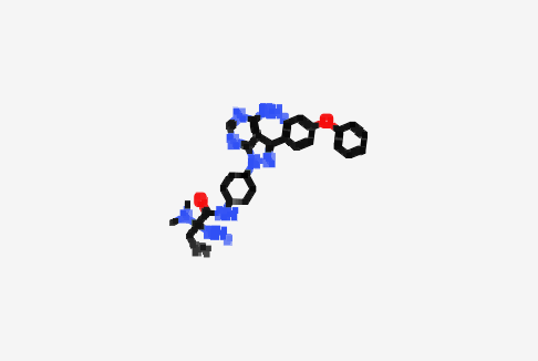 CC(C)CC(N)(C(=O)NC1CCC(n2nc(-c3ccc(Oc4ccccc4)cc3)c3c(N)ncnc32)CC1)N(C)C